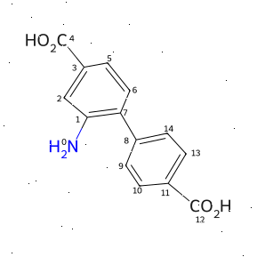 Nc1cc(C(=O)O)ccc1-c1ccc(C(=O)O)cc1